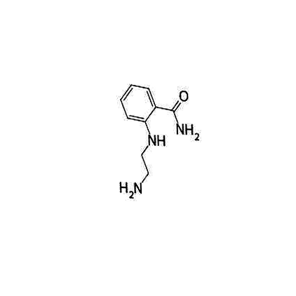 NCCNc1ccccc1C(N)=O